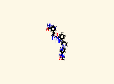 Cc1nc(-c2ccc(N3CCC[C@H](N[C@@H]4CCCC[C@H]4Nc4ncc(-c5cccc(C(N)=O)c5)o4)C3)nc2)no1